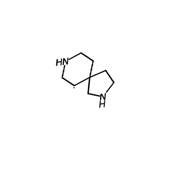 [CH]1CNCCC12CCNC2